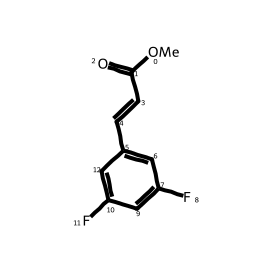 COC(=O)C=Cc1cc(F)cc(F)c1